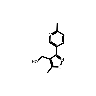 Cc1ccc(-c2noc(C)c2CO)cn1